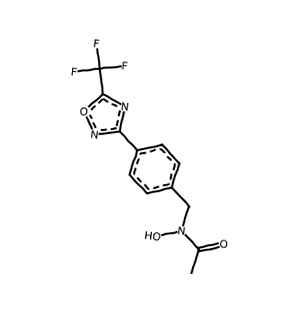 CC(=O)N(O)Cc1ccc(-c2noc(C(F)(F)F)n2)cc1